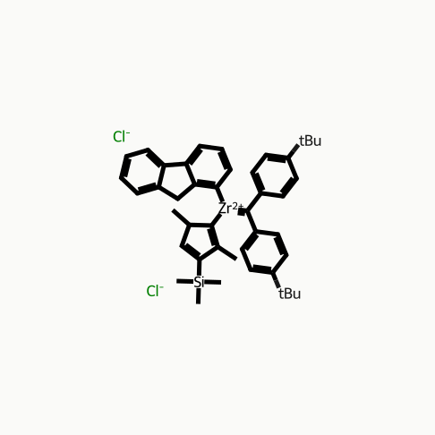 CC1=[C]([Zr+2](=[C](c2ccc(C(C)(C)C)cc2)c2ccc(C(C)(C)C)cc2)[c]2cccc3c2Cc2ccccc2-3)C(C)C=C1[Si](C)(C)C.[Cl-].[Cl-]